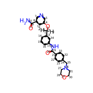 [2H]C([2H])(Oc1cncc(C(N)=O)c1)c1cccc(NC(=O)c2ccc(CN3CCOCC3)cc2)c1